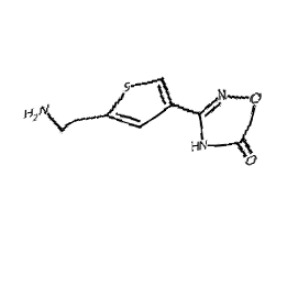 NCc1cc(-c2noc(=O)[nH]2)cs1